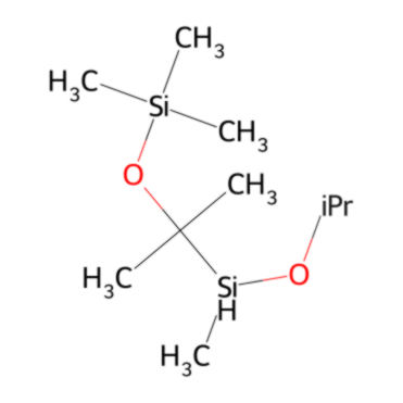 CC(C)O[SiH](C)C(C)(C)O[Si](C)(C)C